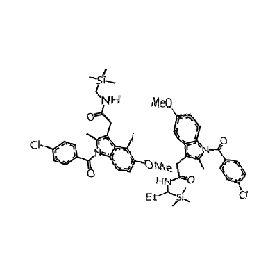 CCC(NC(=O)Cc1c(C)n(C(=O)c2ccc(Cl)cc2)c2ccc(OC)cc12)[Si](C)(C)C.COc1ccc2c(c1I)c(CC(=O)NC[Si](C)(C)C)c(C)n2C(=O)c1ccc(Cl)cc1